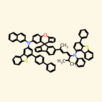 C/C(=C\C=C(/C(C)C)N(c1ccccc1)c1ccc(-c2ccccc2)c2sc3ccccc3c12)c1ccc2c(c1)C1(c3ccccc3Oc3ccc(N(c4ccc5ccccc5c4)c4cc(-c5ccc(-c6ccccc6)cc5)c5sc6ccccc6c5c4)cc31)c1ccccc1-2